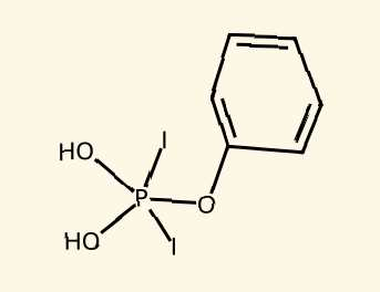 OP(O)(I)(I)Oc1ccccc1